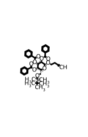 C#CCCO[C@@H]1O[C@H](CO[Si](C)(C)C(C)(C)C)[C@H](OC(=O)c2ccccc2)[C@H](OC(=O)c2ccccc2)[C@H]1OC(=O)c1ccccc1